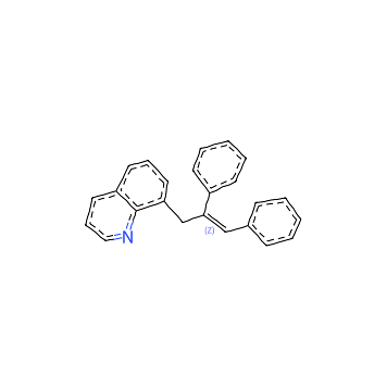 C(=C(\Cc1cccc2cccnc12)c1ccccc1)/c1ccccc1